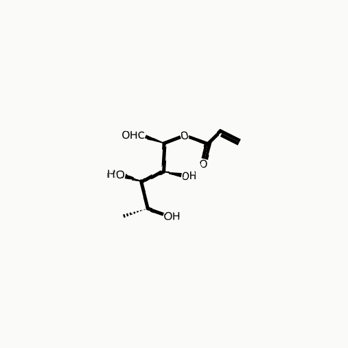 C=CC(=O)O[C@H](C=O)[C@@H](O)[C@H](O)[C@@H](C)O